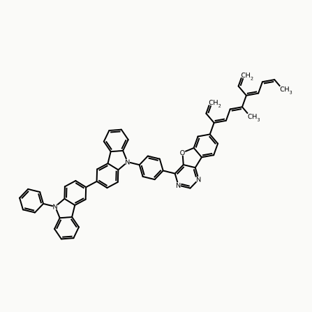 C=CC(=C\C=C/C)/C(C)=C/C=C(\C=C)c1ccc2c(c1)oc1c(-c3ccc(-n4c5ccccc5c5cc(-c6ccc7c(c6)c6ccccc6n7-c6ccccc6)ccc54)cc3)ncnc12